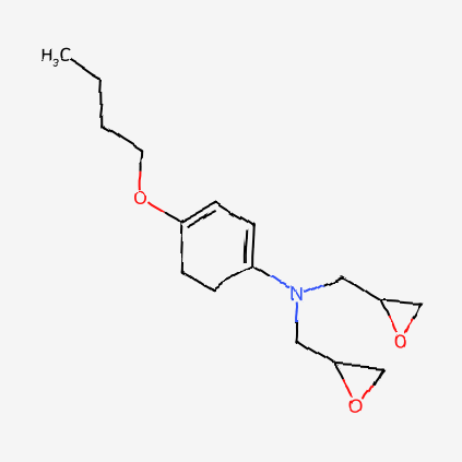 CCCCOC1=CC=C(N(CC2CO2)CC2CO2)CC1